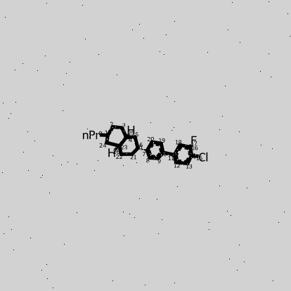 CCCC1CC[C@@H]2C[C@H](c3ccc(-c4ccc(Cl)c(F)c4)cc3)CC[C@@H]2C1